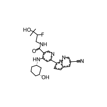 CC(C)(O)C(F)CNC(=O)c1cnc(-c2ccc3cc(C#N)cnn23)cc1N[C@H]1CCC[C@@H](O)C1